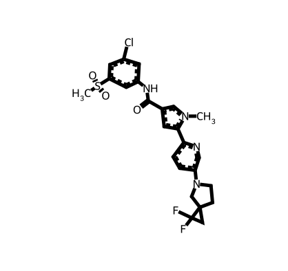 Cn1cc(C(=O)Nc2cc(Cl)cc(S(C)(=O)=O)c2)cc1-c1ccc(N2CCC3(C2)CC3(F)F)cn1